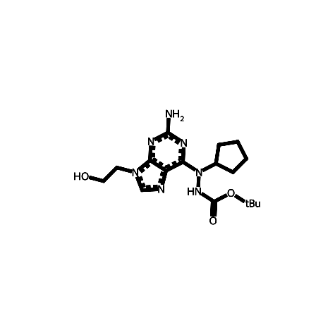 CC(C)(C)OC(=O)NN(c1nc(N)nc2c1ncn2CCO)C1CCCC1